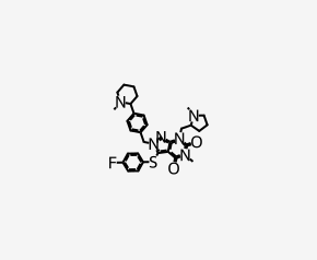 CN1CCCC1Cn1c(=O)n(C)c(=O)c2c(Sc3ccc(F)cc3)n(Cc3ccc(C4CCCCN4C)cc3)nc21